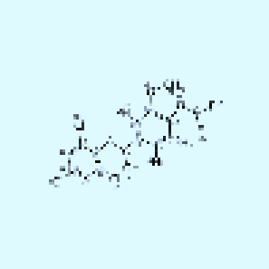 [2H]c1c([2H])c(C(O)Cc2c(Cl)c[n+]([O-])cc2Cl)c([2H])c(OC)c1OC(F)F